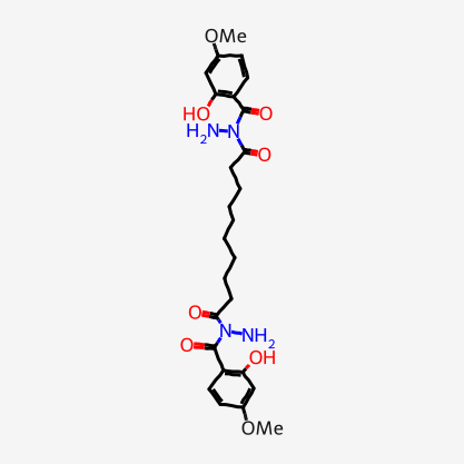 COc1ccc(C(=O)N(N)C(=O)CCCCCCCCC(=O)N(N)C(=O)c2ccc(OC)cc2O)c(O)c1